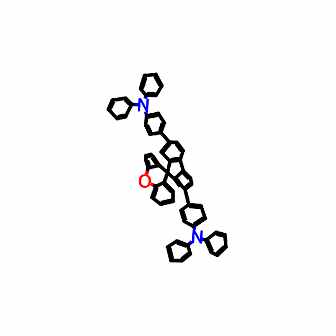 c1ccc(N(c2ccccc2)c2ccc(-c3ccc4c(c3)C3(c5ccccc5Oc5ccccc53)c3cc(-c5ccc(N(c6ccccc6)c6ccccc6)cc5)ccc3-4)cc2)cc1